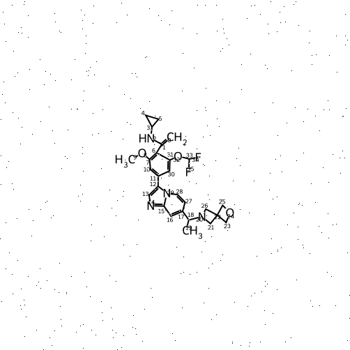 C=C(NC1CC1)c1c(OC)cc(-c2cnc3cc(C(C)N4CC5(COC5)C4)ccn23)cc1OC(F)F